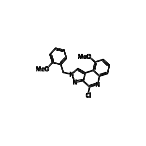 COc1ccccc1Cn1cc2c(n1)c(Cl)nc1cccc(OC)c12